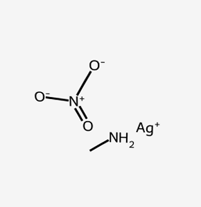 CN.O=[N+]([O-])[O-].[Ag+]